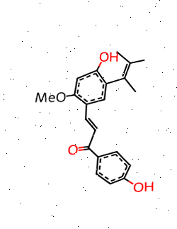 COc1cc(O)c(C(C)=C(C)C)cc1/C=C/C(=O)c1ccc(O)cc1